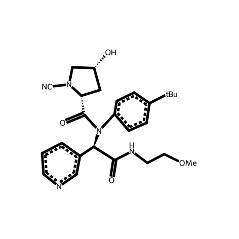 COCCNC(=O)[C@@H](c1cccnc1)N(C(=O)[C@H]1C[C@@H](O)CN1C#N)c1ccc(C(C)(C)C)cc1